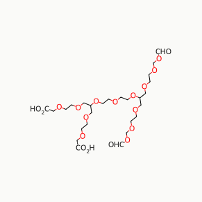 O=COCOCCOCC(COCCOCOC=O)OCCOCCOC(COCCOCC(=O)O)COCCOCC(=O)O